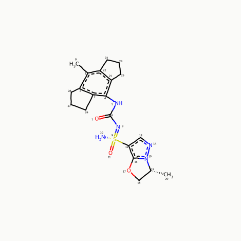 Cc1c2c(c(NC(=O)N=[S@](N)(=O)c3cnn4c3OC[C@H]4C)c3c1CCC3)CCC2